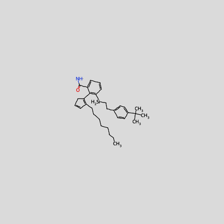 CCCCCCCCC1=C(c2c([SiH2]CCc3ccc(C(C)(C)C)cc3)cccc2C([NH])=O)CC=C1